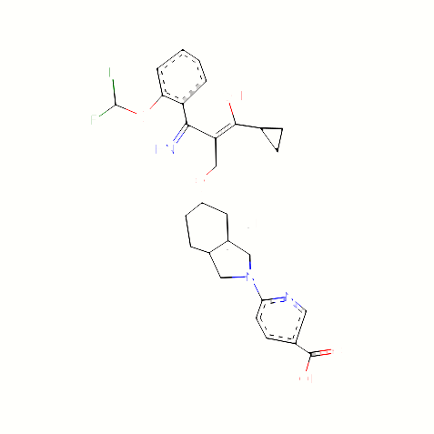 N=C(/C(CO[C@H]1CCC2CN(c3ccc(C(=O)O)cn3)C[C@@H]2C1)=C(\O)C1CC1)c1ccccc1OC(F)F